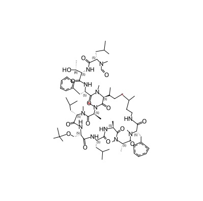 CCC(C)[C@@H](C(=O)N(C)[C@@H](C)C(=O)N(C)[C@@H](CC(C)C)C(=O)N[C@@H](COC(C)(C)C)C(=O)N[C@@H](CC(C)C)C(=O)N[C@@H](C)C(=O)N(C)[C@@H](C)C(=O)N(C)[C@@H](Cc1ccccc1)C(=O)NCCC(C)C)N(C)C(=O)[C@H](Cc1ccccc1)NC(=O)[C@@H](NC(=O)[C@H](CC(C)C)N(C)C=O)[C@@H](C)O